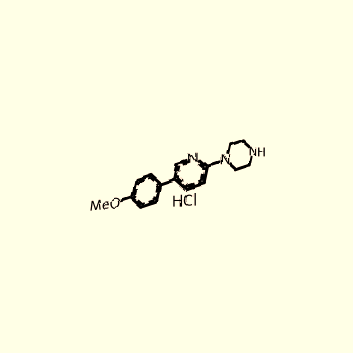 COc1ccc(-c2ccc(N3CCNCC3)nc2)cc1.Cl